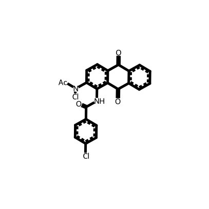 CC(=O)N(Cl)c1ccc2c(c1NC(=O)c1ccc(Cl)cc1)C(=O)c1ccccc1C2=O